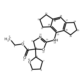 CCOC(=O)C1(C2CCCO2)CN=C(Nc2c3c(cc4c2CCC4)CCC3)O1